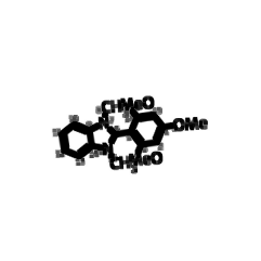 COc1cc(OC)c(C2N(C)c3ccccc3N2C)c(OC)c1